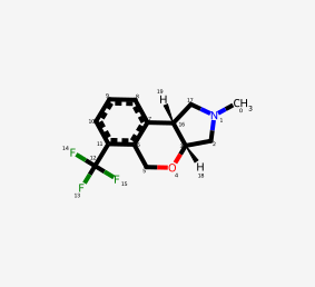 CN1C[C@@H]2OCc3c(cccc3C(F)(F)F)[C@@H]2C1